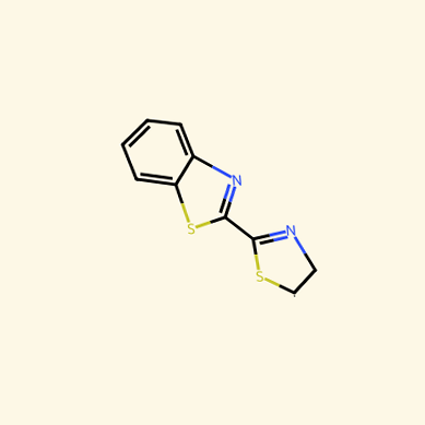 [CH]1CN=C(c2nc3ccccc3s2)S1